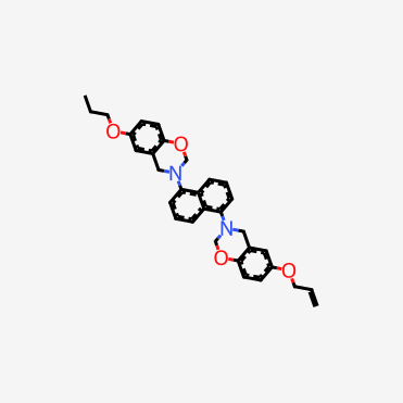 C=CCOc1ccc2c(c1)CN(c1cccc3c(N4COc5ccc(OCCC)cc5C4)cccc13)CO2